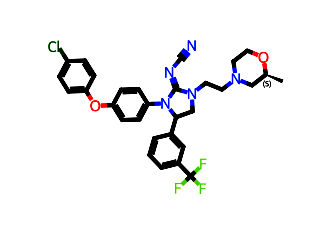 C[C@H]1CN(CCN2CC(c3cccc(C(F)(F)F)c3)N(c3ccc(Oc4ccc(Cl)cc4)cc3)C2=NC#N)CCO1